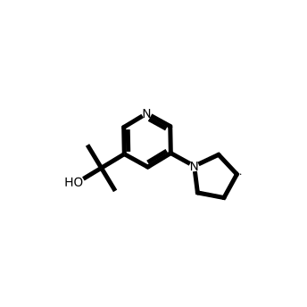 CC(C)(O)c1cncc(N2C[CH]CC2)c1